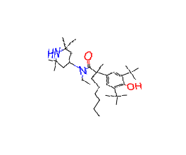 CCCCCCC(C)(C(=O)N(CC)C1CC(C)(C)NC(C)(C)C1)c1cc(C(C)(C)C)c(O)c(C(C)(C)C)c1